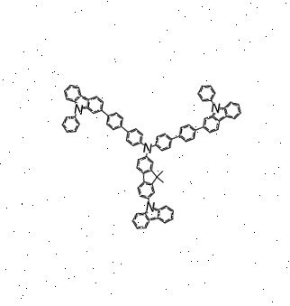 CC1(C)c2cc(N(c3ccc(-c4ccc(-c5ccc6c7ccccc7n(-c7ccccc7)c6c5)cc4)cc3)c3ccc(-c4ccc(-c5ccc6c7ccccc7n(-c7ccccc7)c6c5)cc4)cc3)ccc2-c2ccc(-n3c4ccccc4c4ccccc43)cc21